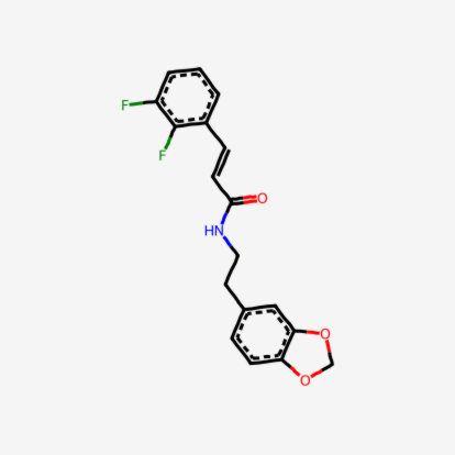 O=C(C=Cc1cccc(F)c1F)NCCc1ccc2c(c1)OCO2